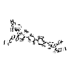 CNC(=O)C(C(=O)OC)N(C)C(=O)c1ccc(-c2ccc(OCC(O)CO)cc2)cc1